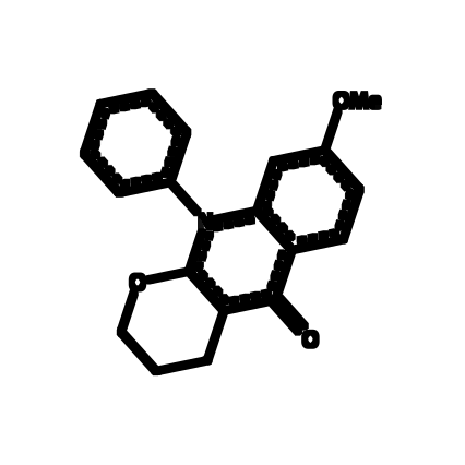 COc1ccc2c(=O)c3c(n(-c4ccccc4)c2c1)OCCC3